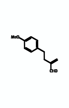 C=C(C=O)CCc1ccc(OC)cc1